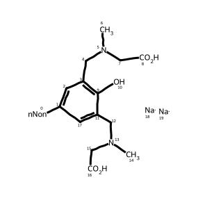 CCCCCCCCCc1cc(CN(C)CC(=O)O)c(O)c(CN(C)CC(=O)O)c1.[Na].[Na]